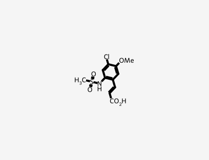 COc1cc(C=CC(=O)O)c(NS(C)(=O)=O)cc1Cl